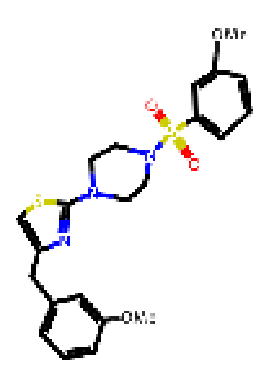 COc1cccc(Cc2csc(N3CCN(S(=O)(=O)c4cccc(OC)c4)CC3)n2)c1